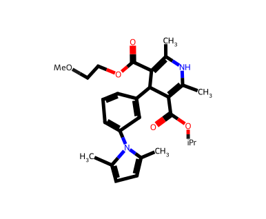 COCCOC(=O)C1=C(C)NC(C)=C(C(=O)OC(C)C)C1c1cccc(-n2c(C)ccc2C)c1